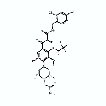 COc1c(N2C[C@@H](C)N(CC(N)=O)[C@@H](C)C2)c(F)cc2c(=O)c(C(=O)NCc3ccc(Cl)cc3Cl)cn([C@@H](C)C(F)(F)F)c12